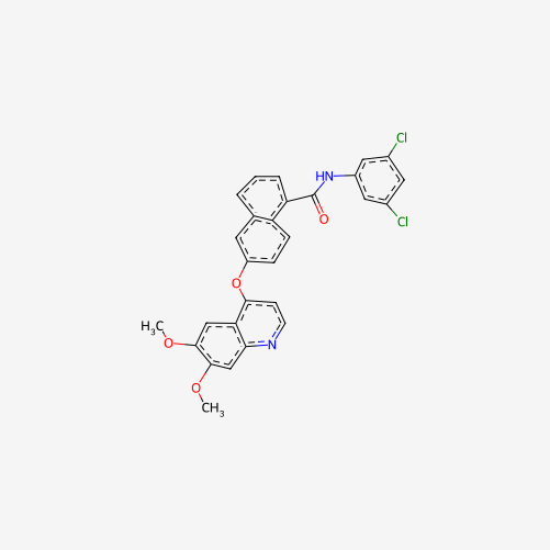 COc1cc2nccc(Oc3ccc4c(C(=O)Nc5cc(Cl)cc(Cl)c5)cccc4c3)c2cc1OC